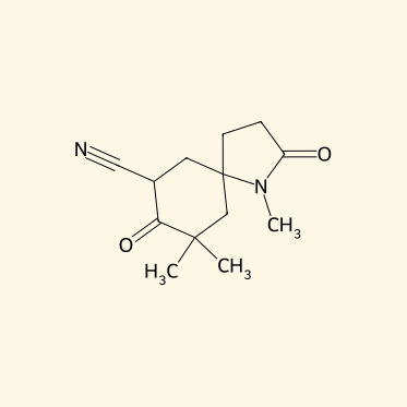 CN1C(=O)CCC12CC(C#N)C(=O)C(C)(C)C2